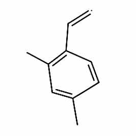 [CH]=Cc1ccc(C)cc1C